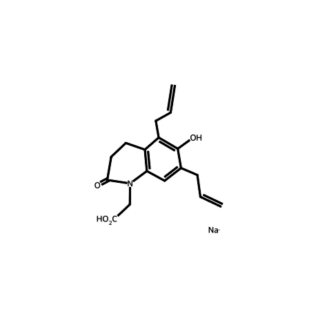 C=CCc1cc2c(c(CC=C)c1O)CCC(=O)N2CC(=O)O.[Na]